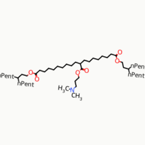 CCCCCC(CCCCC)CCOC(=O)CCCCCCCCCC(CCCCCCCC(=O)OCCC(CCCCC)CCCCC)C(=O)OCCCN(C)C